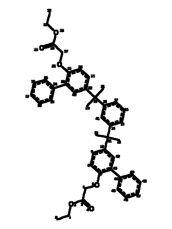 CCOC(=O)COc1ccc(C(C)(C)c2cccc(C(C)(C)c3ccc(OCC(=O)OCC)c(-c4ccccc4)c3)c2)cc1-c1ccccc1